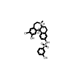 CN1CCc2cc(Cl)c(O)cc2[C@H]2c3ccc(NS(=O)(=O)c4cccc(C#N)c4)cc3CC[C@@H]21